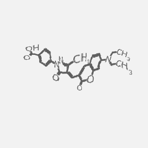 CCN(CC)c1ccc2cc(C=C3C(=O)N(c4ccc(C(=O)O)cc4)N=C3C)c(=O)oc2c1